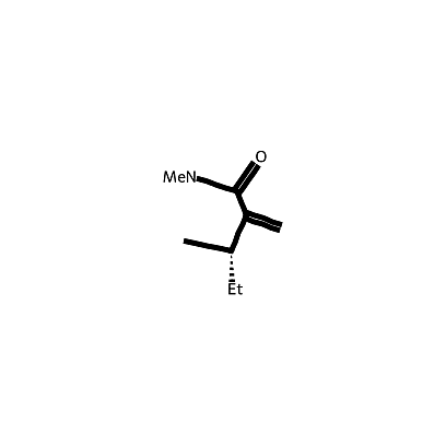 C=C(C(=O)NC)[C@@H](C)CC